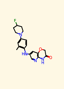 Cc1cc(N2CCC(F)CC2)ccc1Nc1cnc2c(c1)OCC(=O)N2